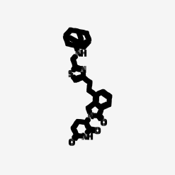 O=C1CCC(N2Cc3c(CCc4csc(CNC56CC7CC(CC(C7)C5)C6)n4)cccc3C2=O)C(=O)N1